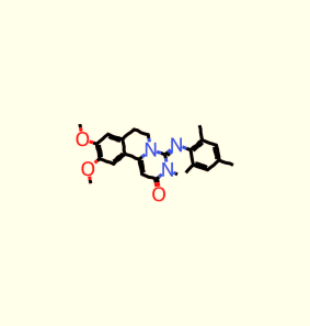 COc1cc2c(cc1OC)-c1cc(=O)n(C)c(=Nc3c(C)cc(C)cc3C)n1CC2